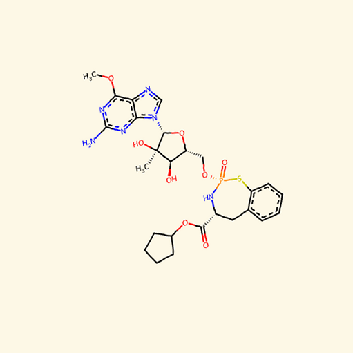 COc1nc(N)nc2c1ncn2[C@@H]1O[C@H](CO[P@@]2(=O)N[C@@H](C(=O)OC3CCCC3)Cc3ccccc3S2)[C@@H](O)[C@@]1(C)O